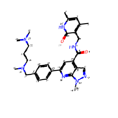 Cc1cc(C)c(CNC(=O)c2cc(-c3ccc(CN(C)CCCN(C)C)cc3)nc3c2cnn3C(C)C)c(=O)[nH]1